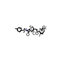 Cc1ccc(S/N=C2\C(=O)N3C(C(=O)O)=C(CSc4ccc[n+]([O-])n4)CSC23)cc1